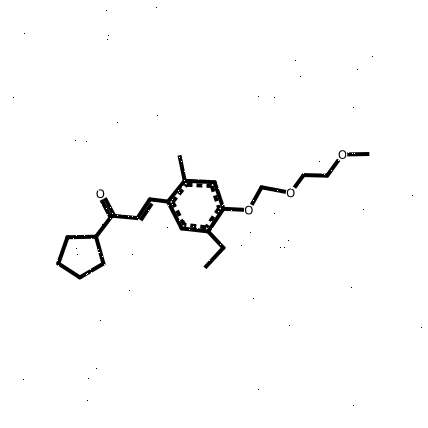 CCc1cc(C=CC(=O)C2CCCC2)c(C)cc1OCOCCOC